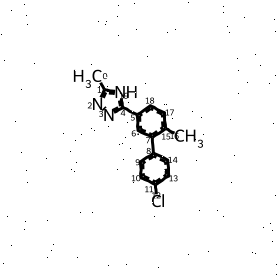 Cc1nnc(-c2[c]c(-c3ccc(Cl)cc3)c(C)cc2)[nH]1